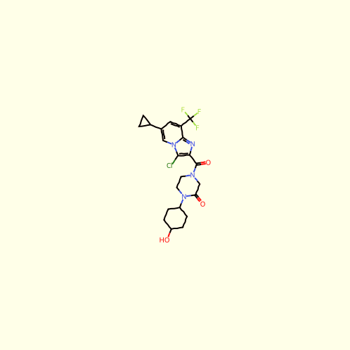 O=C(c1nc2c(C(F)(F)F)cc(C3CC3)cn2c1Cl)N1CCN(C2CCC(O)CC2)C(=O)C1